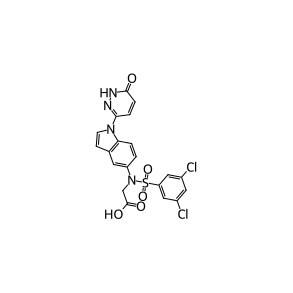 O=C(O)CN(c1ccc2c(ccn2-c2ccc(=O)[nH]n2)c1)S(=O)(=O)c1cc(Cl)cc(Cl)c1